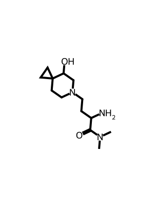 CN(C)C(=O)C(N)CCN1CCC2(CC2)C(O)C1